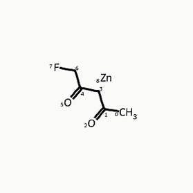 CC(=O)CC(=O)CF.[Zn]